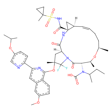 CCC(C)N(C(=O)O)[C@@H]1C(=O)N2[C@@H](C[C@@](C)(Oc3nc(-c4ccc(OC(C)C)cn4)cc4cc(OC)ccc34)C2(F)F)C(=O)N[C@]2(C(=O)NS(=O)(=O)C3(C)CC3)C[C@H]2/C=C\CC[C@@H](C)O[C@H]1C